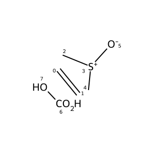 C=C.C[S+](C)[O-].O=C(O)O